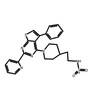 O=[SH](=O)NCCC1CCN(c2nc(-c3ccccn3)nc3scc(-c4ccccc4)c23)CC1